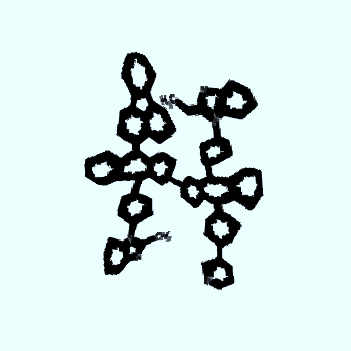 CCc1nc2ccccc2n1-c1ccc(-c2c3ccccc3c(-c3ccc(-c4cccnc4)cc3)c3ccc(-c4ccc5c(-c6ccc7c8c(cccc68)-c6ccccc6-7)c6ccccc6c(-c6ccc(-n7c(C)nc8ccccc87)cc6)c5c4)cc23)cc1